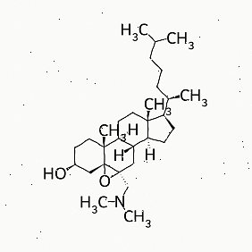 CC(C)CCC[C@@H](C)[C@H]1CC[C@H]2[C@@H]3C[C@@]4(CN(C)C)O[C@@]45C[C@@H](O)CC[C@]5(C)[C@H]3CC[C@]12C